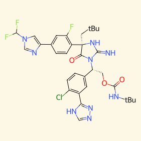 CC(C)(C)C[C@]1(c2ccc(-c3cn(C(F)F)cn3)cc2F)NC(=N)N([C@H](COC(=O)NC(C)(C)C)c2ccc(Cl)c(-c3nnc[nH]3)c2)C1=O